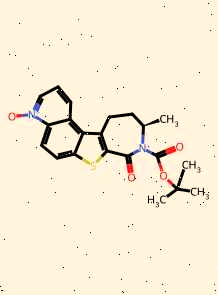 C[C@@H]1CCc2c(sc3ccc4c(ccc[n+]4[O-])c23)C(=O)N1C(=O)OC(C)(C)C